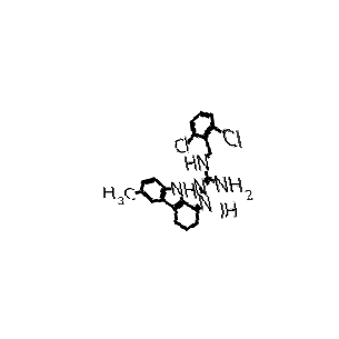 Cc1ccc2[nH]c3c(c2c1)CCC/C3=N/N=C(\N)NCc1c(Cl)cccc1Cl.I